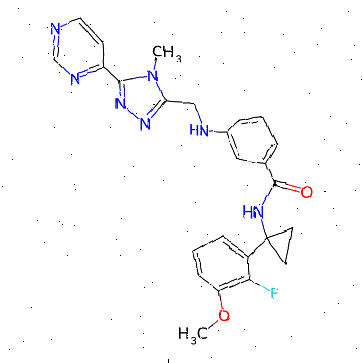 COc1cccc(C2(NC(=O)c3cccc(NCc4nnc(-c5ccncn5)n4C)c3)CC2)c1F